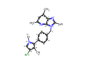 CCCc1nc2c(C)cc(C)nc2n1Cc1ccc(-c2c(C#N)c(Br)cn2CC)cc1